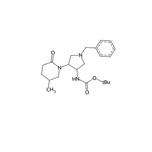 CC1CCC(=O)N(C2CN(Cc3ccccc3)CC2NC(=O)OC(C)(C)C)C1